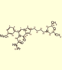 COc1cccc(-c2cn3cc(CCCCN4CC(C)OC(C)C4)cc3c(=O)n2CC(=O)NC(C)C)c1